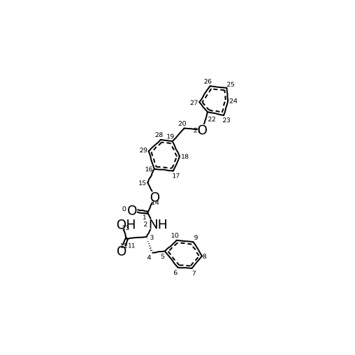 O=C(N[C@H](Cc1ccccc1)C(=O)O)OCc1ccc(COc2ccccc2)cc1